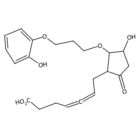 O=C(O)CCC=C=CCC1C(=O)CC(O)C1OCCCOc1ccccc1O